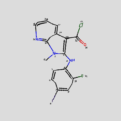 Cn1c(Nc2ccc(I)cc2F)c(C(=O)Cl)c2cccnc21